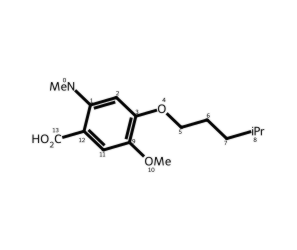 CNc1cc(OCCCC(C)C)c(OC)cc1C(=O)O